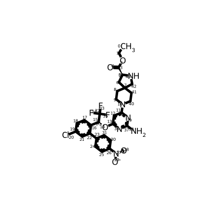 CCOC(=O)[C@@H]1CC2(CCN(c3cc(O[C@H](c4ccc(Cl)cc4-c4ccc([N+](=O)[O-])cc4)C(F)(F)F)nc(N)n3)CC2)CN1